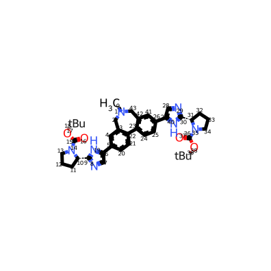 CN1Cc2cc(-c3cnc([C@@H]4CCCN4C(=O)OC(C)(C)C)[nH]3)ccc2-c2ccc(-c3cnc([C@@H]4CCCN4C(=O)OC(C)(C)C)[nH]3)cc2C1